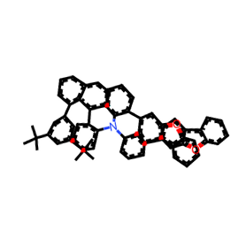 CC(C)(C)c1cc(-c2cccc3cccc(-c4ccccc4N(c4cccc(-c5ccc6c(c5)oc5ccccc56)c4)c4ccccc4-c4ccc5c(c4)oc4ccccc45)c23)cc(C(C)(C)C)c1